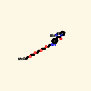 COCCOCCOCCOCCOCCNc1ccc([C@@H](C(=O)N2CCCC2)N(C(=O)O)C(C)(C)C)cc1